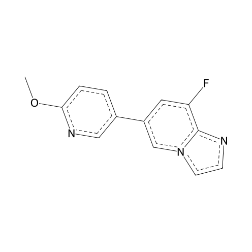 COc1ccc(-c2cc(F)c3nccn3c2)cn1